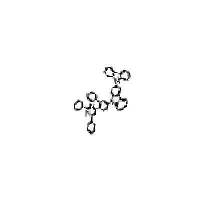 c1ccc(-c2cc(-c3ccc(-n4c5ccccc5c5cc(-n6c7ccccc7c7ccccc76)ccc54)cc3-c3ccccc3)nc(-c3ccccc3)n2)cc1